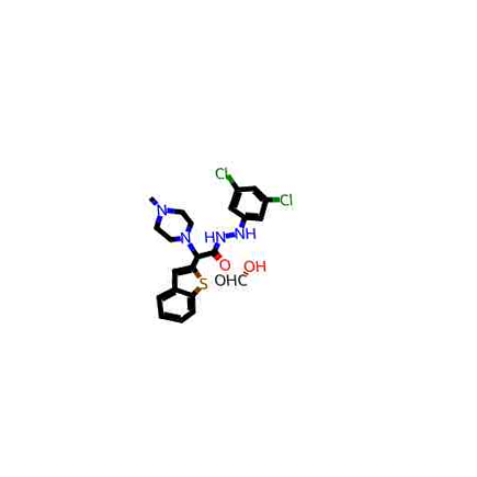 CN1CCN(C(C(=O)NNc2cc(Cl)cc(Cl)c2)c2cc3ccccc3s2)CC1.O=CO